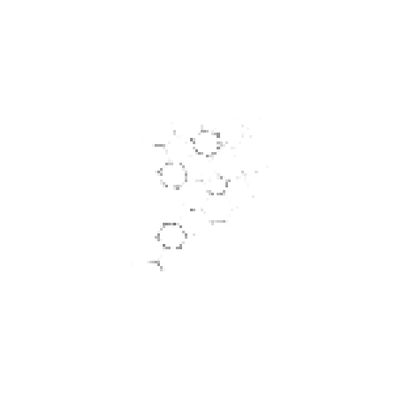 CN(C(=O)c1cccc(-n2nc(C(F)(F)F)c3c2[C@H](Oc2ccc(C(=O)O)cc2)CCC3)c1)c1ccc2c(c1)OC(F)(F)O2